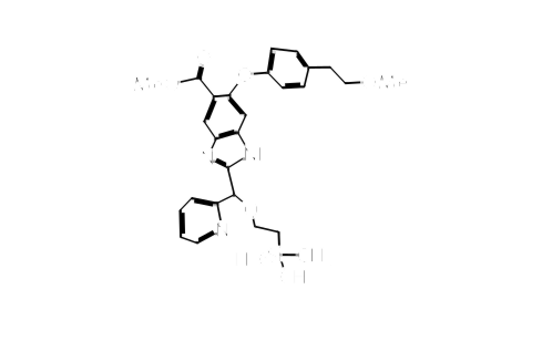 COCCc1ccc(Oc2cc3[nH]c(C(OCC[Si](C)(C)C)c4ccccn4)nc3cc2C(=O)OC)cc1